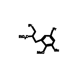 CCOC(=O)C(Cc1cc(C(C)C)cc(C(C)(C)C)c1OC)CC(C)C